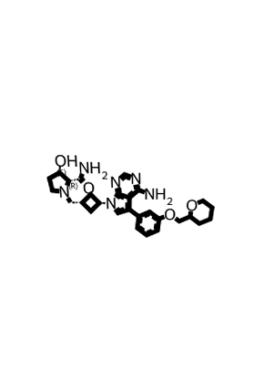 NC(=O)[C@H]1[C@@H](O)CCN1C[C@H]1C[C@@H](n2cc(-c3cccc(OCC4CCCCO4)c3)c3c(N)ncnc32)C1